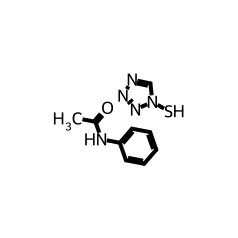 CC(=O)Nc1ccccc1.Sn1cnnn1